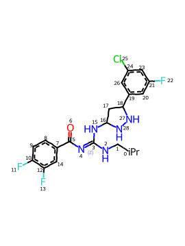 CC(C)CN/C(=N/C(=O)c1ccc(F)c(F)c1)NC1CC(c2cc(F)cc(Cl)c2)NN1